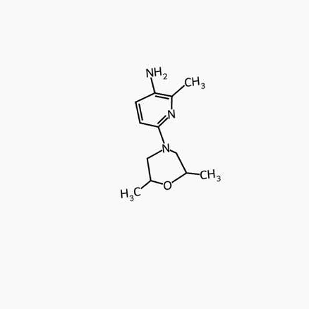 Cc1nc(N2CC(C)OC(C)C2)ccc1N